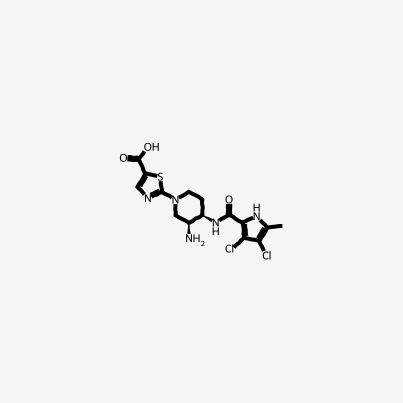 Cc1[nH]c(C(=O)N[C@@H]2CCN(c3ncc(C(=O)O)s3)C[C@@H]2N)c(Cl)c1Cl